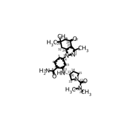 Cc1nn(-c2ccc(C(N)=O)c(N[C@@H]3CCN(C(=O)N(C)C)C3)c2)c2c1C(=O)CC(C)(C)C2